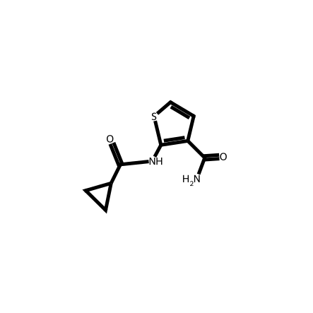 NC(=O)c1ccsc1NC(=O)C1CC1